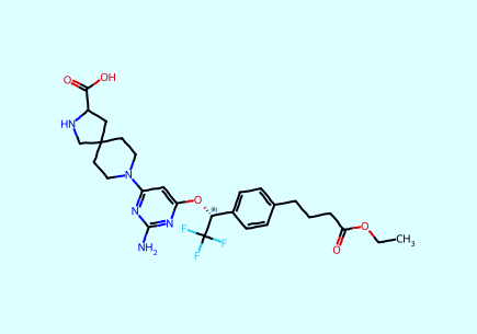 CCOC(=O)CCCc1ccc([C@@H](Oc2cc(N3CCC4(CC3)CNC(C(=O)O)C4)nc(N)n2)C(F)(F)F)cc1